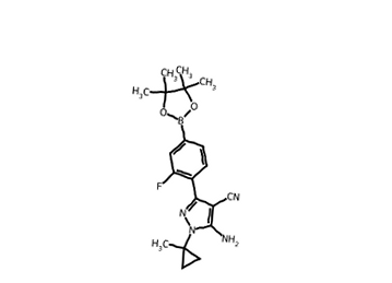 CC1(n2nc(-c3ccc(B4OC(C)(C)C(C)(C)O4)cc3F)c(C#N)c2N)CC1